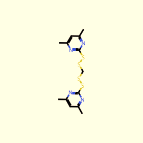 Cc1cc(C)nc(SSCSSc2nc(C)cc(C)n2)n1